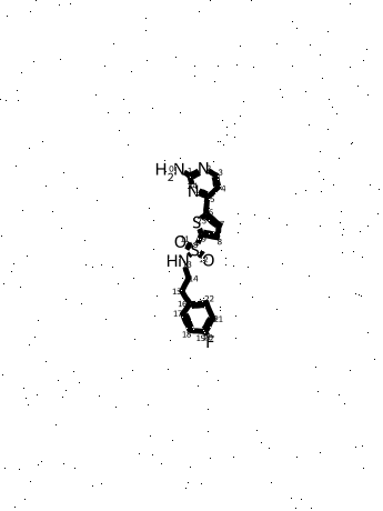 Nc1nccc(-c2ccc(S(=O)(=O)NCCc3ccc(F)cc3)s2)n1